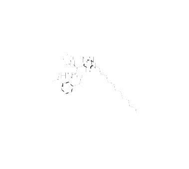 CCCCCCCCCCCCn1nnc(C(C(=O)Nc2c(C(C)C)cccc2C(C)C)N2CCCC2)n1